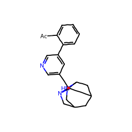 CC(=O)c1ccccc1-c1cncc(C2C3CC4CC(CN3)CN2C4)c1